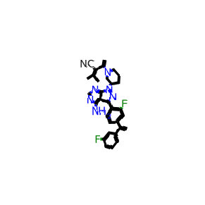 C=C(c1cccc(F)c1)c1ccc(-c2nn(C3CCCN(C(=C)C(C#N)=C(C)C)C3)c3ncnc(N)c23)c(F)c1